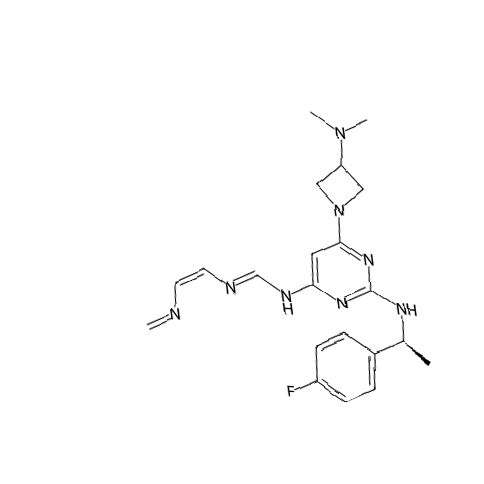 C=N/C=C\N=C\Nc1cc(N2CC(N(C)C)C2)nc(N[C@@H](C)c2ccc(F)cc2)n1